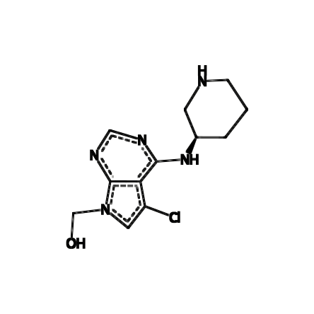 OCn1cc(Cl)c2c(N[C@@H]3CCCNC3)ncnc21